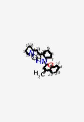 CC(=CC(=O)Nc1ccccc1CCC1CCCCN1C)c1ccccc1